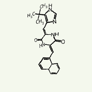 CC(C)(C)c1[nH]cnc1/C=c1\[nH]c(=O)/c(=C/C2=CC=CC3C=CC=CC23)[nH]c1=O